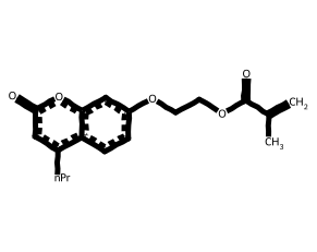 C=C(C)C(=O)OCCOc1ccc2c(CCC)cc(=O)oc2c1